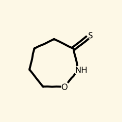 S=C1CCCCON1